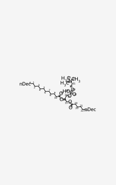 CCCCCCCCCCCCCCCCCCCCC(=O)O[C@H](COC(=O)CCCCCCCCCCCCCC)COP(=O)(O)OCC[N+](C)(C)C